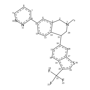 CN1Cc2cc(-c3cccnn3)ccc2C(c2ccc3c(C(F)(F)F)csc3c2)C1